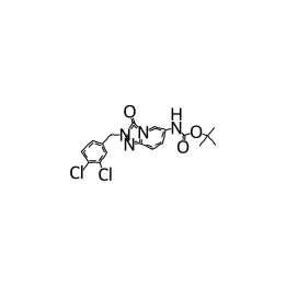 CC(C)(C)OC(=O)Nc1ccc2nn(Cc3ccc(Cl)c(Cl)c3)c(=O)n2c1